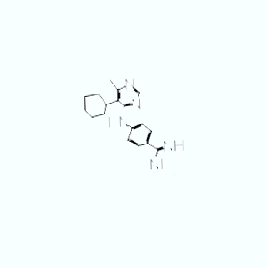 Cc1n[c]nc(Nc2ccc(C(=N)N)cc2)c1C1CCCCC1